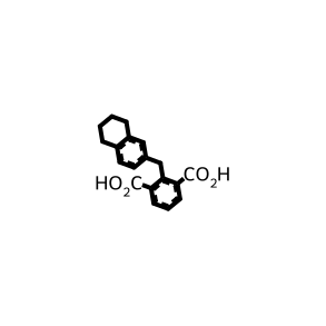 O=C(O)c1cccc(C(=O)O)c1Cc1ccc2c(c1)CCCC2